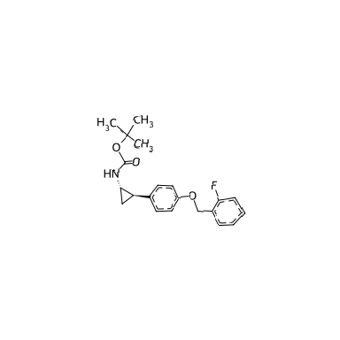 CC(C)(C)OC(=O)N[C@H]1C[C@@H]1c1ccc(OCc2ccccc2F)cc1